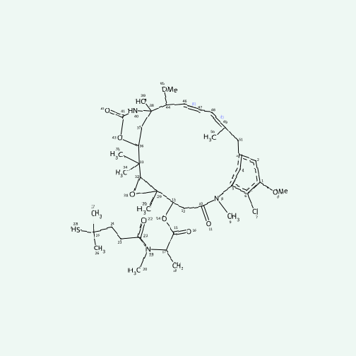 COc1cc2cc(c1Cl)N(C)C(=O)CC(OC(=O)C(C)N(C)C(=O)CCC(C)(C)S)C1(C)OC1C(C)(C)C1CC(O)(NC(=O)O1)C(OC)/C=C/C=C(\C)C2